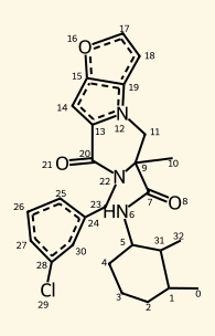 CC1CCCC(NC(=O)C2(C)Cn3c(cc4occc43)C(=O)N2Cc2cccc(Cl)c2)C1C